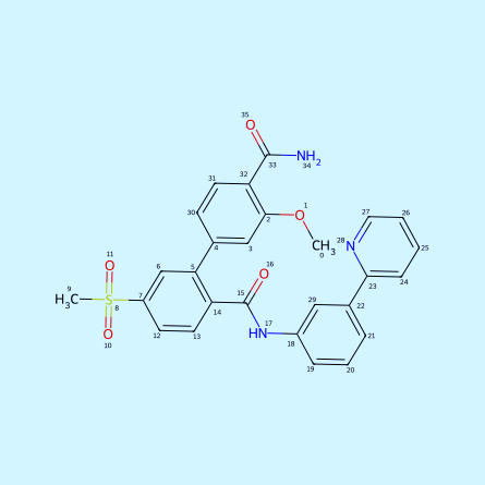 COc1cc(-c2cc(S(C)(=O)=O)ccc2C(=O)Nc2cccc(-c3ccccn3)c2)ccc1C(N)=O